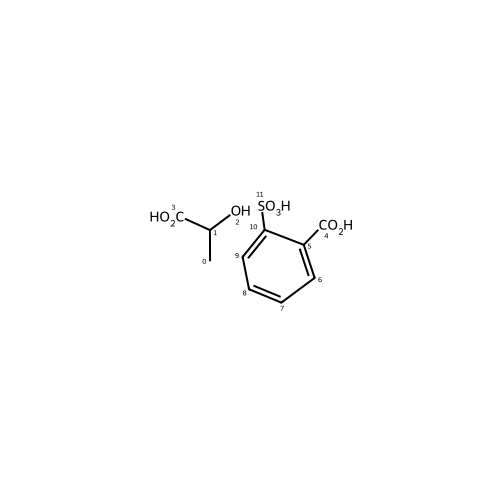 CC(O)C(=O)O.O=C(O)c1ccccc1S(=O)(=O)O